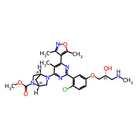 CNC[C@@H](O)COc1ccc(Cl)c(-c2nc(-c3c(C)noc3C)c(C)c(N3C[C@H]4C[C@@H]3CN4C(=O)OC)n2)c1